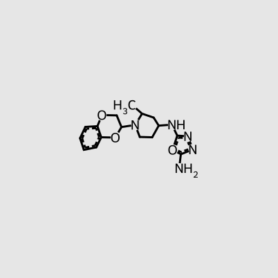 CC1CC(Nc2nnc(N)o2)CCN1C1COc2ccccc2O1